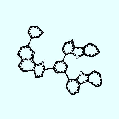 c1ccc(-c2ccc3ccc4ccc(-c5cc(-c6cccc7c6oc6ccccc67)cc(-c6cccc7c6oc6ccccc67)c5)nc4c3n2)cc1